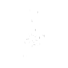 CC(C)=CCCC(C)=CCCC(C)=CCN1C(=O)c2cccc(O)c2N(C(=O)CCCCC(=O)O)c2c(O)cc(O)cc21.N